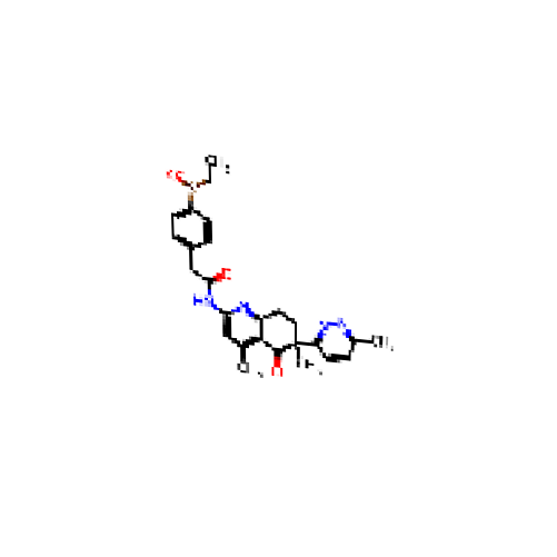 CC[S+]([O-])c1ccc(CC(=O)Nc2cc(C)c3c(n2)CCC(C)(c2ccc(C)nn2)C3=O)cc1